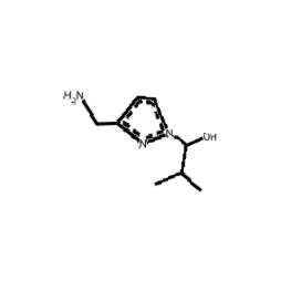 CC(C)C(O)n1ccc(CN)n1